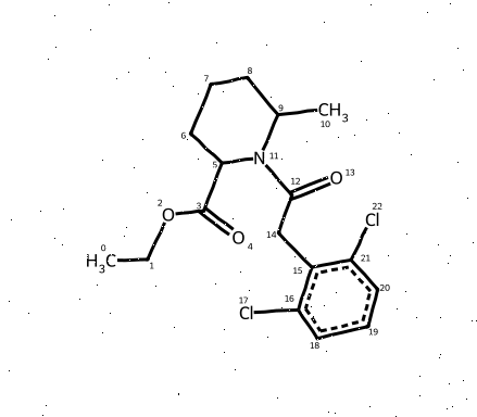 CCOC(=O)C1CCCC(C)N1C(=O)Cc1c(Cl)cccc1Cl